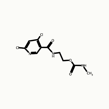 CNC(=O)OCCNC(=O)c1cnc(Cl)cc1Cl